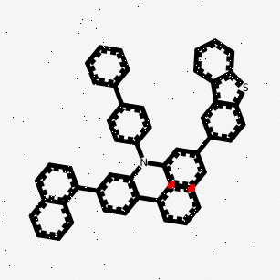 c1ccc(-c2ccc(N(c3cccc(-c4ccc5sc6ccccc6c5c4)c3)c3cc(-c4cccc5ccccc45)ccc3-c3ccccc3)cc2)cc1